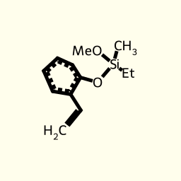 C=Cc1ccccc1O[Si](C)(CC)OC